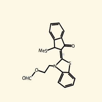 CSC1/C(=C2/Sc3ccccc3N2CCOC=O)C(=O)c2ccccc21